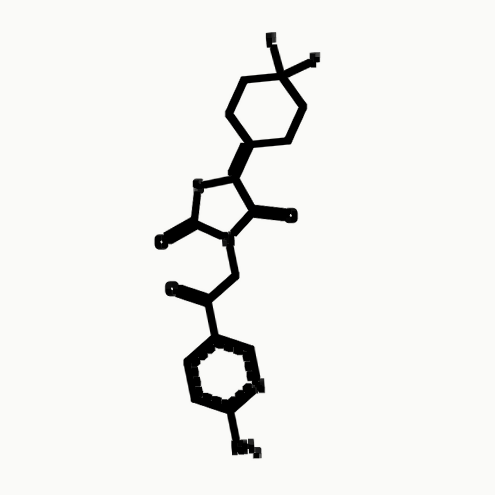 Nc1ccc(C(=O)CN2C(=O)SC(=C3CCC(F)(F)CC3)C2=O)cn1